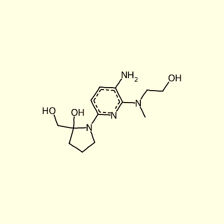 CN(CCO)c1nc(N2CCCC2(O)CO)ccc1N